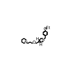 CCOc1ccc(CN2C[C@@H]3C(COCCCN4CCCCC4)[C@@H]3C2)cc1